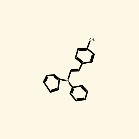 Cc1ccc(/C=C/N(c2ccccc2)c2ccccc2)cc1